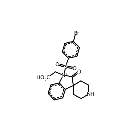 O=C(O)C[N+]1(S(=O)(=O)c2ccc(Br)cc2)C(=O)C2(CCNCC2)c2ccccc21